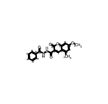 COc1cc(C)c2cc(C(=O)NNC(=O)c3ccccc3)c(=O)oc2c1